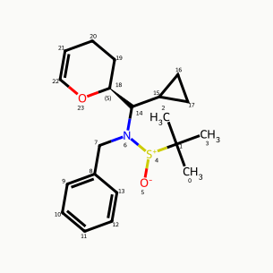 CC(C)(C)[S+]([O-])N(Cc1ccccc1)C(C1CC1)[C@@H]1CCC=CO1